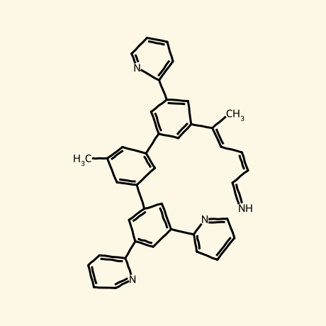 C/C(=C\C=C/C=N)c1cc(-c2cc(C)cc(-c3cc(-c4ccccn4)cc(-c4ccccn4)c3)c2)cc(-c2ccccn2)c1